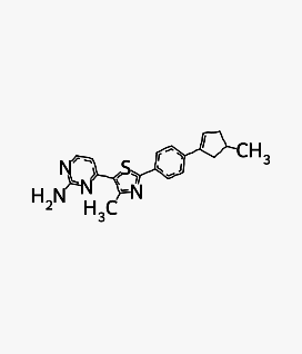 Cc1nc(-c2ccc(C3=CCC(C)C3)cc2)sc1-c1ccnc(N)n1